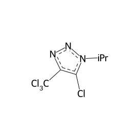 CC(C)n1nnc(C(Cl)(Cl)Cl)c1Cl